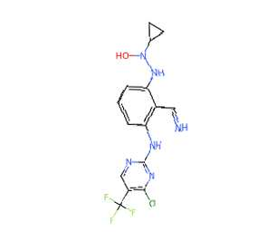 N=Cc1c(Nc2ncc(C(F)(F)F)c(Cl)n2)cccc1NN(O)C1CC1